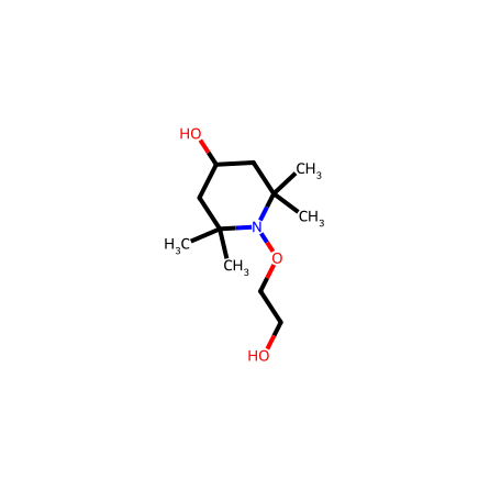 CC1(C)CC(O)CC(C)(C)N1OCCO